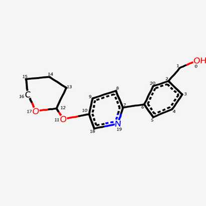 OCc1cccc(-c2ccc(OC3CCCCO3)cn2)c1